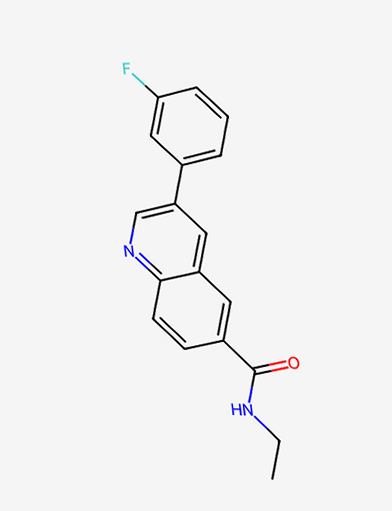 CCNC(=O)c1ccc2ncc(-c3cccc(F)c3)cc2c1